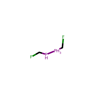 FCP[PH3]CF